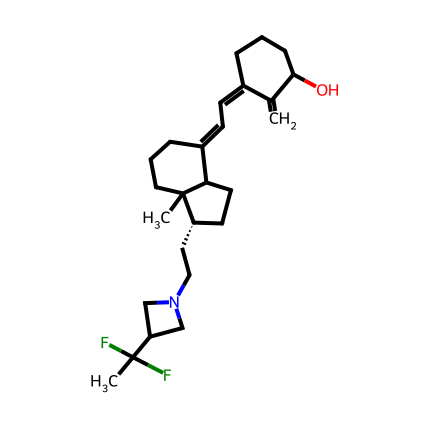 C=C1/C(=C\C=C2/CCCC3(C)C2CC[C@@H]3CCN2CC(C(C)(F)F)C2)CCCC1O